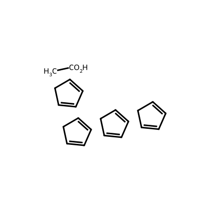 C1=CCC=C1.C1=CCC=C1.C1=CCC=C1.C1=CCC=C1.CC(=O)O